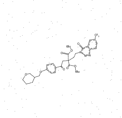 CC(C)(C)OC(=O)C(CCn1nnc2ccc(C(F)(F)F)cc2c1=O)(CC(=O)c1ccc(OCC2CCCOC2)cc1)C(=O)OC(C)(C)C